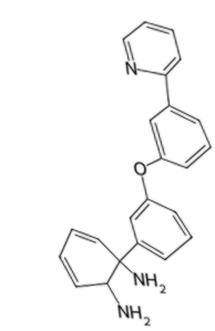 NC1C=CC=CC1(N)c1cccc(Oc2cccc(-c3ccccn3)c2)c1